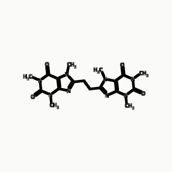 Cn1c(=O)c2c(nc(CCc3nc4c(c(=O)n(C)c(=O)n4C)n3C)n2C)n(C)c1=O